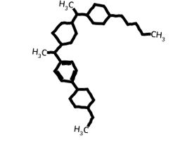 CCCCCC1CCC(C(C)C2CCC(C(C)c3ccc(C4CCC(CC)CC4)cc3)CC2)CC1